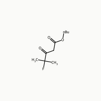 CCCCOC(=O)CC(=O)C(C)(C)F